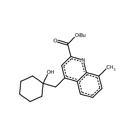 Cc1cccc2c(CC3(O)CCCCC3)cc(C(=O)OCC(C)C)nc12